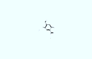 COC(=O)c1cc(OC)c(C=O)cc1Cl